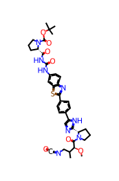 CO[C@H](C(=O)N1CCC[C@H]1c1ncc(-c2ccc(-c3nc4ccc(NC(=O)NC(=O)[C@@H]5CCCN5C(=O)OC(C)(C)C)cc4s3)cc2)[nH]1)C(C)CN=C=O